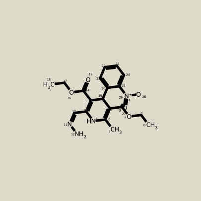 CCOC(=O)C1=C(C)NC(/C=N\N)=C(C(=O)OCC)C1c1ccccc1[N+](=O)[O-]